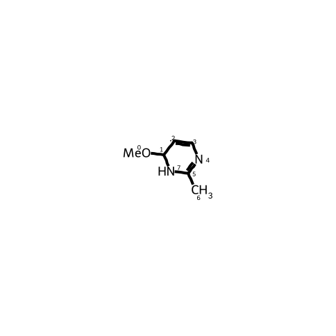 COC1[C]=CN=C(C)N1